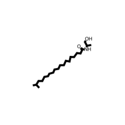 CC(C)CCCCCCCCCCCCCCCCC(=O)NC(C)CO